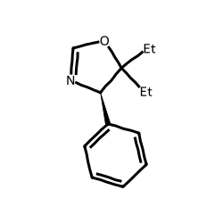 CCC1(CC)OC=N[C@@H]1c1ccccc1